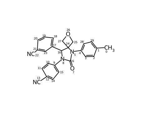 Cc1ccc(N2C(=O)N(c3ccc(C#N)cc3)C(c3cccc(C#N)c3)C23COC3)cc1